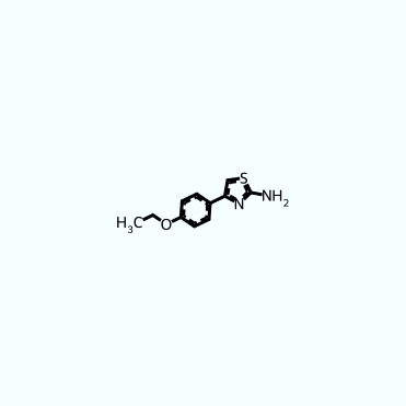 CCOc1ccc(-c2csc(N)n2)cc1